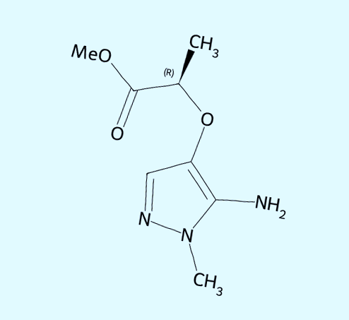 COC(=O)[C@@H](C)Oc1cnn(C)c1N